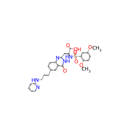 COc1ccc(OC)c(S(=O)(=O)N[C@@H](Cc2nc3ccc(C=CCNc4ccccn4)cc3c(=O)[nH]2)C(=O)O)c1